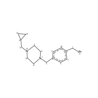 CC(C)Cc1ccc(CN2CCN(CC3CC3)CC2)cc1